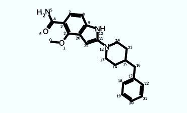 COc1c(C(N)=O)ccc2[nH]c(N3CCC(Cc4ccccc4)CC3)cc12